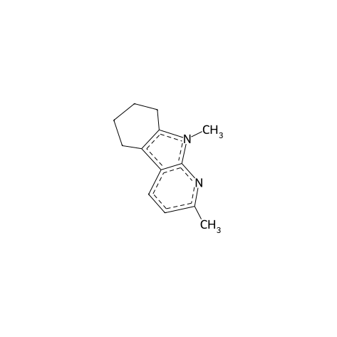 Cc1ccc2c3c(n(C)c2n1)CCCC3